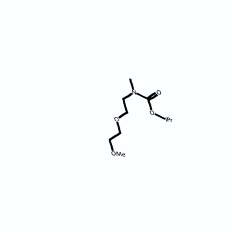 COCCOCCN(C)C(=O)OC(C)C